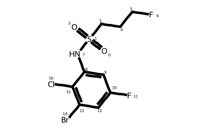 O=S(=O)(CCCF)Nc1cc(F)cc(Br)c1Cl